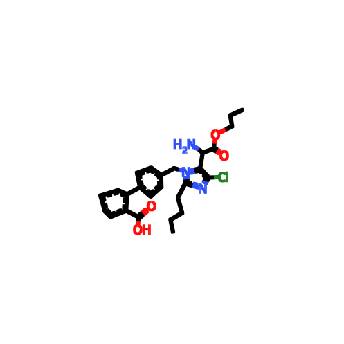 CCCCc1nc(Cl)c(C(N)C(=O)OCCC)n1Cc1ccc(-c2ccccc2C(=O)O)cc1